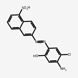 Nc1cc(O)c(/N=N/c2ccc3c(S(=O)(=O)O)cccc3c2)cc1Cl